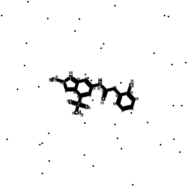 CCCn1cc2c(S(C)(=O)=O)cc(NC(=O)Cc3ccccc3Cl)cc2n1